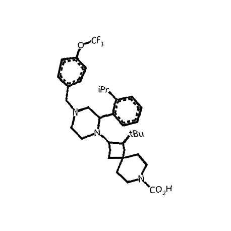 CC(C)c1ccccc1C1CN(Cc2ccc(OC(F)(F)F)cc2)CCN1C1CC2(CCN(C(=O)O)CC2)C1C(C)(C)C